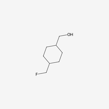 OCC1CCC(CF)CC1